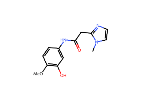 COc1ccc(NC(=O)Cc2nccn2C)cc1O